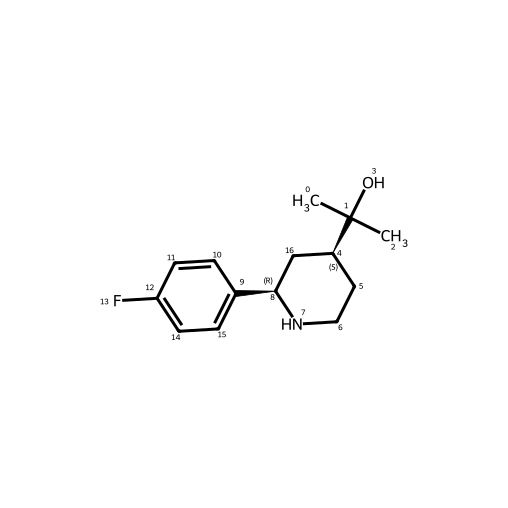 CC(C)(O)[C@H]1CCN[C@@H](c2ccc(F)cc2)C1